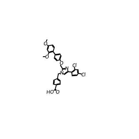 COc1ccc(-c2ccc(OCc3nc(-c4ccc(Cl)cc4Cl)cn3Cc3ccc(C(=O)O)cc3)cc2)c(OC)c1